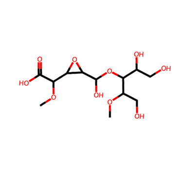 COC(CO)C(OC(O)C1OC1C(OC)C(=O)O)C(O)CO